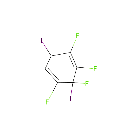 FC1=CC(I)C(F)=C(F)C1(F)I